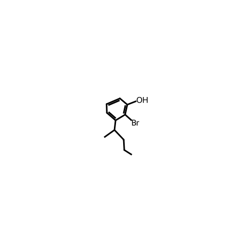 CCCC(C)c1cccc(O)c1Br